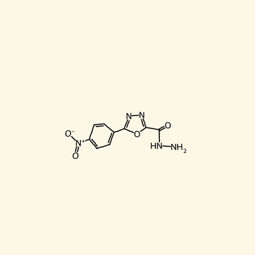 NNC(=O)c1nnc(-c2ccc([N+](=O)[O-])cc2)o1